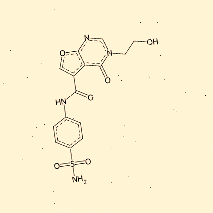 NS(=O)(=O)c1ccc(NC(=O)c2coc3ncn(CCO)c(=O)c23)cc1